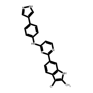 Cc1[nH]c2cc(-c3nccc(Nc4ccc(-c5cn[nH]c5)cc4)n3)ccc2c1Cl